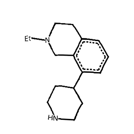 CCN1CCc2cccc(C3CCNCC3)c2C1